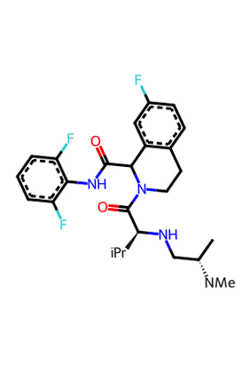 CN[C@@H](C)CN[C@H](C(=O)N1CCc2ccc(F)cc2C1C(=O)Nc1c(F)cccc1F)C(C)C